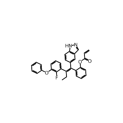 C=CC(=O)Oc1ccccc1/C(=C(\CC)c1cccc(Oc2ccccc2)c1F)c1ccc2[nH]ncc2c1